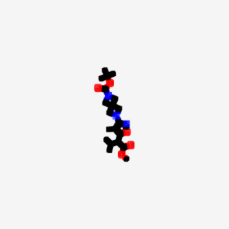 COC(=O)C(c1onc(N2CC3(CN(C(=O)OC(C)(C)C)C3)C2)c1C)C(C)C